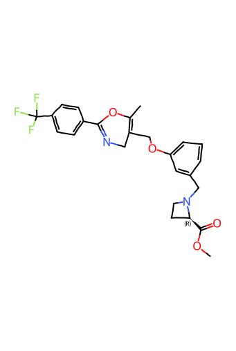 COC(=O)[C@H]1CCN1Cc1cccc(OCC2=C(C)OC(c3ccc(C(F)(F)F)cc3)=NC2)c1